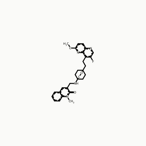 COc1ccc2ncc(F)c(CCC34CCC(NCc5cc6ccccc6n(C)c5=O)(CC3)CO4)c2n1